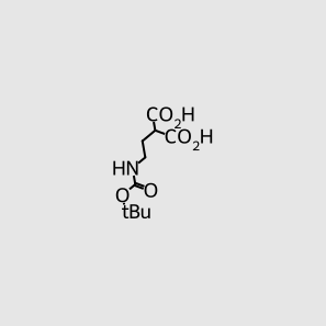 CC(C)(C)OC(=O)NCCC(C(=O)O)C(=O)O